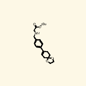 CC(C)(C)OC(=O)CNCc1ccc(C2=CCC3(CC2)OCCO3)cc1